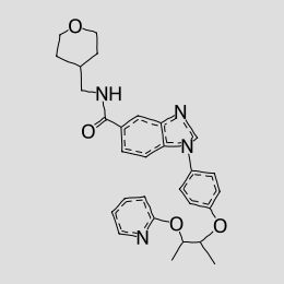 CC(Oc1ccc(-n2cnc3cc(C(=O)NCC4CCOCC4)ccc32)cc1)C(C)Oc1ccccn1